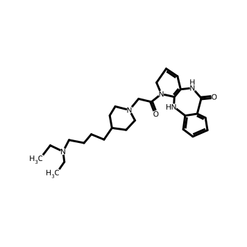 CCN(CC)CCCCC1CCN(CC(=O)N2CC=CC3=C2Nc2ccccc2C(=O)N3)CC1